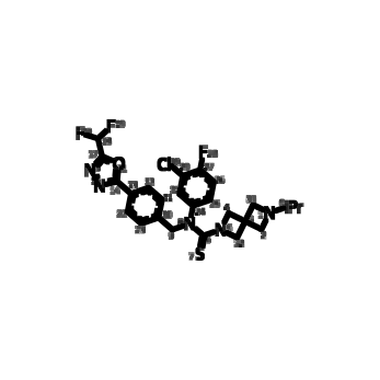 CC(C)N1CC2(CN(C(=S)N(Cc3ccc(-c4nnc(C(F)F)o4)cc3)c3ccc(F)c(Cl)c3)C2)C1